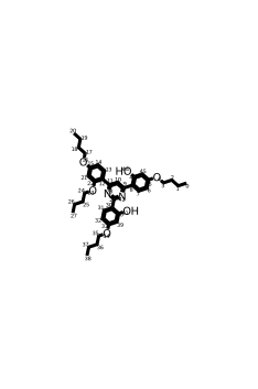 CCCCOc1ccc(-c2cc(-c3ccc(OCCCC)cc3OCCCC)nc(-c3ccc(OCCCC)cc3O)n2)c(O)c1